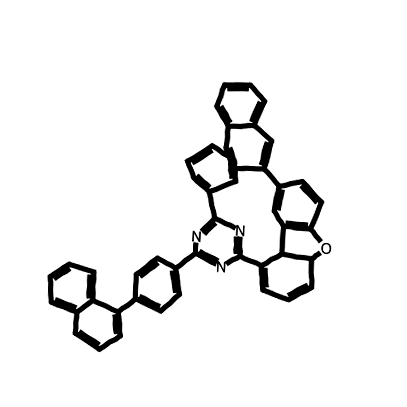 C1=CC2Oc3ccc(-c4ccc5ccccc5c4)cc3C2C(c2nc(-c3ccccc3)nc(-c3ccc(-c4cccc5ccccc45)cc3)n2)=C1